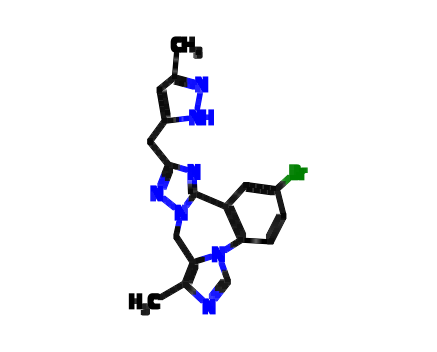 Cc1cc(Cc2nc3n(n2)Cc2c(C)ncn2-c2ccc(Br)cc2-3)[nH]n1